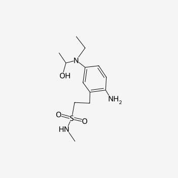 CCN(c1ccc(N)c(CCS(=O)(=O)NC)c1)C(C)O